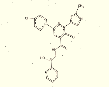 Cn1cc(-n2nc(-c3ccc(Cl)cc3)cc(C(=O)NC[C@@H](O)c3ccccc3)c2=O)cn1